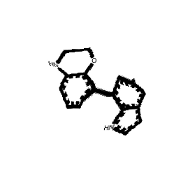 c1cc2c(c(-c3cccc4cc[nH]c34)c1)OCCN2